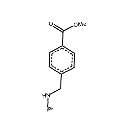 COC(=O)c1ccc(CNC(C)C)cc1